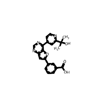 CC(C)(O)c1cc(-c2ncnc3cc(-c4cccc(C(=O)O)c4)oc23)ccn1